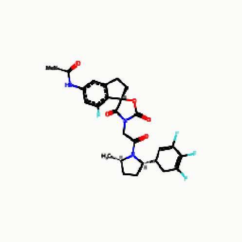 CNC(=O)Nc1cc(F)c2c(c1)CC[C@]21OC(=O)N(CC(=O)N2[C@@H](C)CC[C@H]2C2C=C(F)C(F)=C(F)C2)C1=O